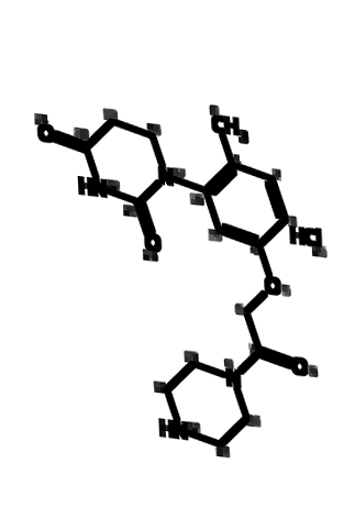 Cc1ccc(OCC(=O)N2CCNCC2)cc1N1CCC(=O)NC1=O.Cl